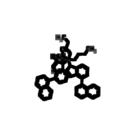 CCC[CH2][Zr]([CH2]CCC)([CH]1C(C)=Cc2c(-c3cccc4ccccc34)cccc21)([CH]1C(C)=Cc2c(-c3cccc4ccccc34)cccc21)[SiH](C)C